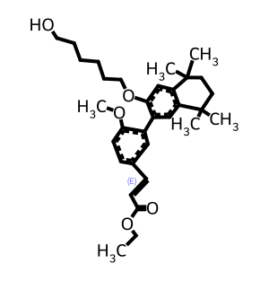 CCOC(=O)/C=C/c1ccc(OC)c(-c2cc3c(cc2OCCCCCCO)C(C)(C)CCC3(C)C)c1